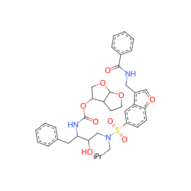 CC(C)CN(CC(O)C(Cc1ccccc1)NC(=O)OC1COC2OCCC12)S(=O)(=O)c1ccc2occ(CNC(=O)c3ccccc3)c2c1